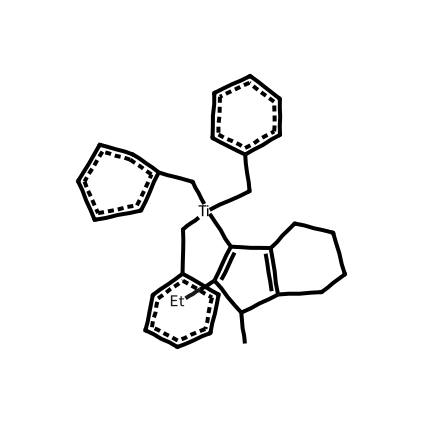 CCC1=[C]([Ti]([CH2]c2ccccc2)([CH2]c2ccccc2)[CH2]c2ccccc2)C2=C(CCCC2)C1C